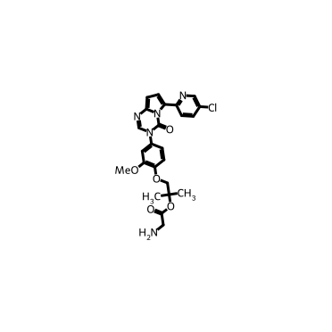 COc1cc(-n2cnc3ccc(-c4ccc(Cl)cn4)n3c2=O)ccc1OCC(C)(C)OC(=O)CN